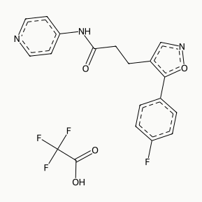 O=C(CCc1cnoc1-c1ccc(F)cc1)Nc1ccncc1.O=C(O)C(F)(F)F